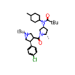 CC1CCC(N(C(=O)C(C)(C)C)[C@H]2C[C@H](C)N(C(=O)C3CN(C(C)(C)C)C[C@@H]3c3ccc(Cl)cc3)C2)CC1